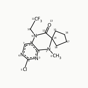 CN1c2nc(Cl)ncc2N(CC(F)(F)F)C(=O)C12CCCC2